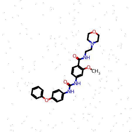 COc1cc(NC(=O)Nc2ccc(Oc3ccccc3)cc2)ccc1C(=O)NCCN1CCOCC1